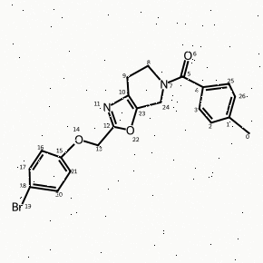 Cc1ccc(C(=O)N2CCc3nc(COc4ccc(Br)cc4)oc3C2)cc1